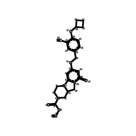 CC(C)(C)OC(=O)N1CCN2c3cc(OCc4ccc(OC5CCC5)c(C#N)c4)nc(=O)n3CC2C1